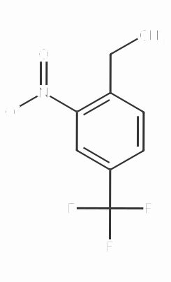 CCc1ccc(C(F)(F)F)cc1[N+](=O)[O-]